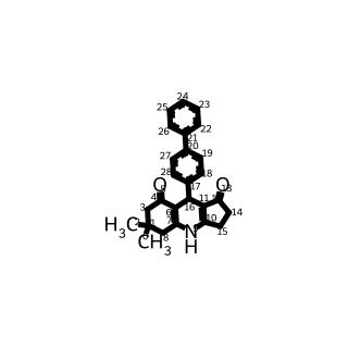 CC1(C)CC(=O)C2=C(C1)NC1=C(C(=O)CC1)C2c1ccc(-c2ccccc2)cc1